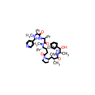 CO[C@H]([C@@H](C)C(=O)N[C@H](C)[C@@H](O)c1ccccc1)[C@@H]1CCCN1C(=O)C[C@@H](OC)[C@H](C(C)C)N(C)C(=O)[C@@H](NC(=O)[C@H](C(C)C)N(C)Cc1ccncc1)C(C)C